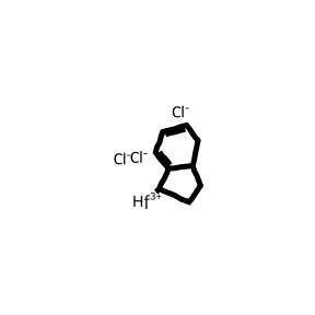 [Cl-].[Cl-].[Cl-].[Hf+3][CH]1CCC2CC=CC=C12